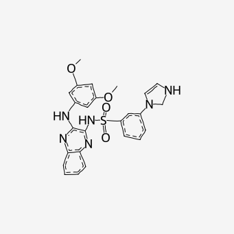 COc1cc(Nc2nc3ccccc3nc2NS(=O)(=O)c2cccc(N3C=CNC3)c2)cc(OC)c1